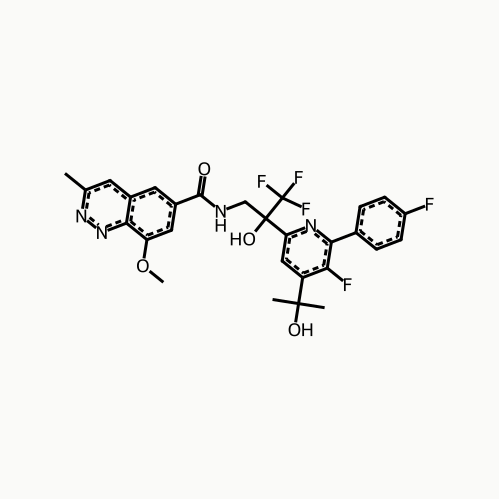 COc1cc(C(=O)NCC(O)(c2cc(C(C)(C)O)c(F)c(-c3ccc(F)cc3)n2)C(F)(F)F)cc2cc(C)nnc12